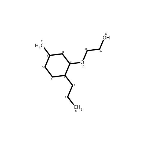 CCCC1CCC(C)CC1OCCO